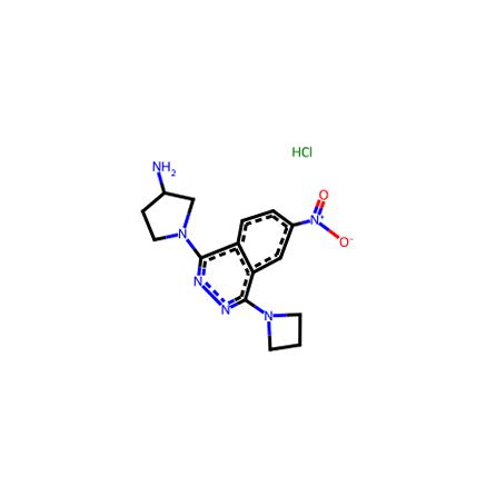 Cl.NC1CCN(c2nnc(N3CCC3)c3cc([N+](=O)[O-])ccc23)C1